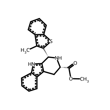 COC(=O)[C@@H]1Cc2c([nH]c3ccccc23)[C@H](c2sc3ccccc3c2C)N1